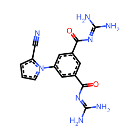 N#Cc1cccn1-c1cc(C(=O)N=C(N)N)cc(C(=O)N=C(N)N)c1